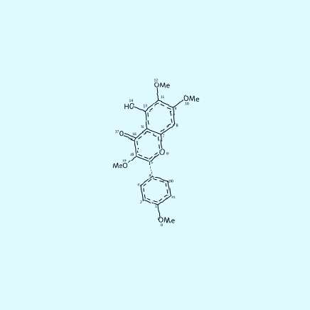 COc1ccc(-c2oc3cc(OC)c(OC)c(O)c3c(=O)c2OC)cc1